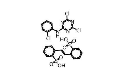 Clc1nc(Cl)nc(Nc2ccccc2Cl)n1.O=S(=O)(O)c1ccccc1/C=C/c1ccccc1S(=O)(=O)O